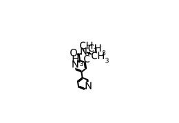 CN(C(=O)c1ccc(-c2cccnc2)cn1)C(C)(C)C